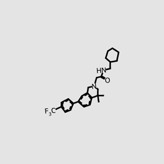 CC1(C)CN(CC(=O)NCC2CCCCC2)Cc2cc(-c3ccc(C(F)(F)F)cc3)ccc21